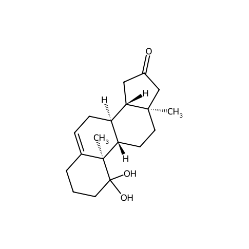 C[C@]12CC[C@H]3[C@@H](CC=C4CCCC(O)(O)[C@@]43C)[C@@H]1CC(=O)C2